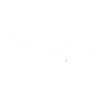 Cc1nc(Br)sc1C(=O)N1CC[C@@H](C(=O)N2CCC(O)(Cn3cnc4c(ccn4C)c3=O)CC2)[C@H](c2ccccc2)C1